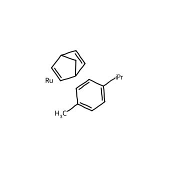 C1=CC2C=CC1C2.Cc1ccc(C(C)C)cc1.[Ru]